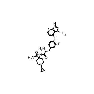 Cc1c[nH]c2nccc(Oc3ccc(C[C@H](N)C(=O)NC4(C(N)=O)CCN(C5CC5)CC4)cc3F)c12